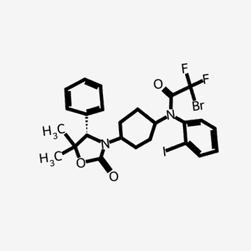 CC1(C)OC(=O)N(C2CCC(N(C(=O)C(F)(F)Br)c3ccccc3I)CC2)[C@H]1c1ccccc1